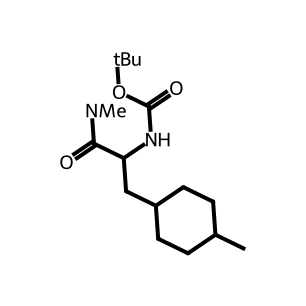 CNC(=O)C(CC1CCC(C)CC1)NC(=O)OC(C)(C)C